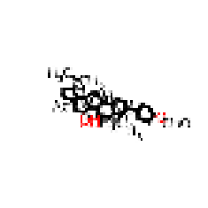 C=C(C)[C@@H]1CC[C@]2(C(C)=O)C[C@H](O)[C@]3(C)[C@H](CC[C@@H]4[C@@]5(C)CC=C(c6ccc(OC=O)cc6)C(C)(C)[C@@H]5C[C@H](O)[C@]43C)[C@@H]12